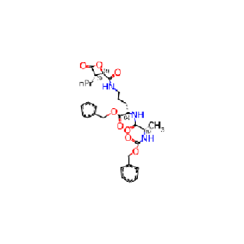 CCC[C@@H]1C(=O)O[C@H]1C(=O)NCCC[C@H](NC(=O)[C@H](C)NC(=O)OCc1ccccc1)C(=O)OCc1ccccc1